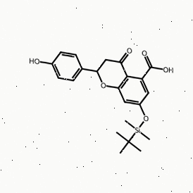 CC(C)(C)[Si](C)(C)Oc1cc2c(c(C(=O)O)c1)C(=O)CC(c1ccc(O)cc1)O2